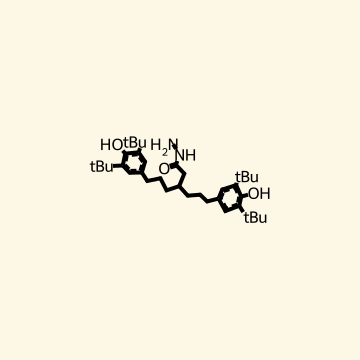 CC(C)(C)c1cc(CCCC(CCCc2cc(C(C)(C)C)c(O)c(C(C)(C)C)c2)CC(=O)NN)cc(C(C)(C)C)c1O